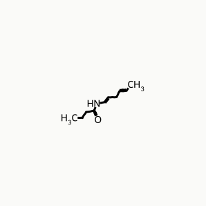 CC=CCC=CNC(=O)CCC